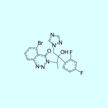 CC(n1nnc2cccc(Br)c2c1=O)C(O)(Cn1cncn1)c1ccc(F)cc1F